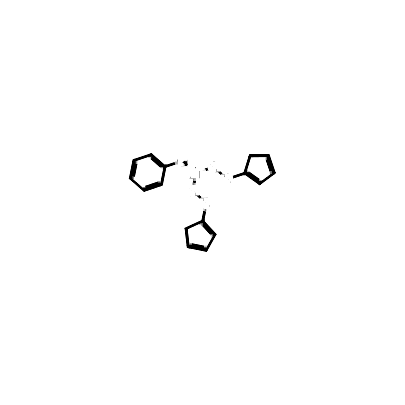 C1=CCC(S[S][Zr]([O]c2ccccc2)[S]SC2=CC=CC2)=C1